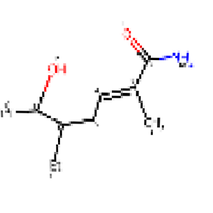 CCCC(O)C(CC)C/C=C(\C)C(N)=O